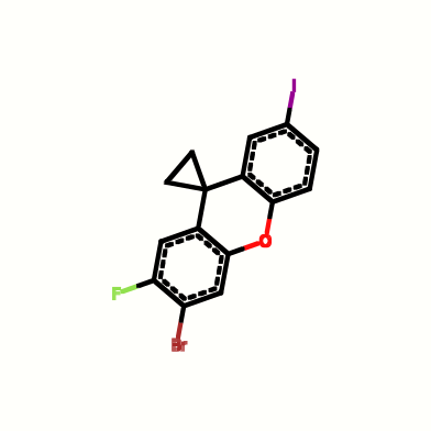 Fc1cc2c(cc1Br)Oc1ccc(I)cc1C21CC1